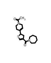 CC(=O)N1CC=C(C2CC(C(=O)N3CCCCCC3)=CS2)CC1